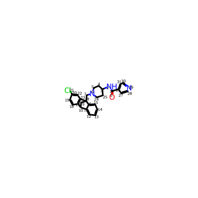 O=C(NC1CCN(CC23CC(c4ccccc42)c2ccc(Cl)cc23)CC1)c1ccncc1